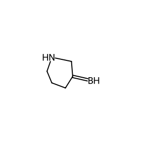 B=C1CCCNC1